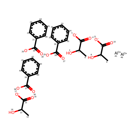 CC(O)C(=O)[O-].CC(O)C(=O)[O-].CC(O)C(=O)[O-].O=C([O-])c1ccccc1.O=C([O-])c1ccccc1.O=C([O-])c1ccccc1.[Al+3].[Al+3]